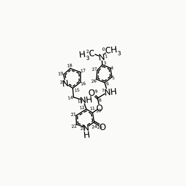 CN(C)c1ccc(NC(=O)Oc2c(NCc3ccccn3)cc[nH]c2=O)cc1